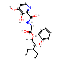 CCC(CC)[C@@H](Oc1ccccc1)[C@H](C)OC(=O)CNC(=O)c1nccc(OC)c1O